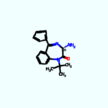 CC(C)(C)N1C(=O)[C@@H](N)N=C(c2ccccc2)c2ccccc21